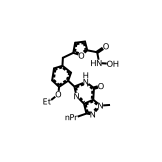 CCCc1nn(C)c2c(=O)[nH]c(-c3cc(Cc4ccc(C(=O)NO)o4)ccc3OCC)nc12